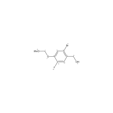 COCOc1cc(Br)c(CO)cc1F